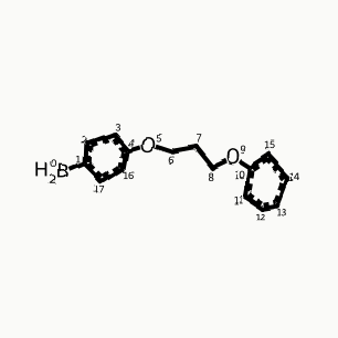 Bc1ccc(OCCCOc2ccccc2)cc1